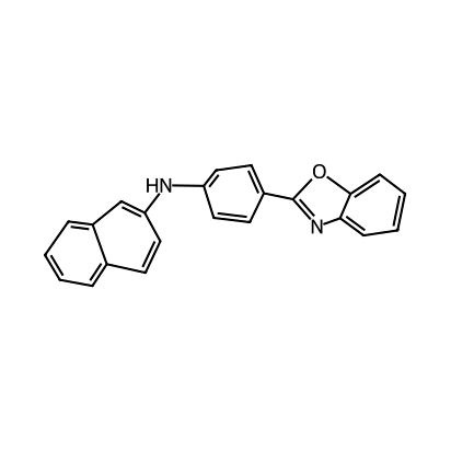 c1ccc2cc(Nc3ccc(-c4nc5ccccc5o4)cc3)ccc2c1